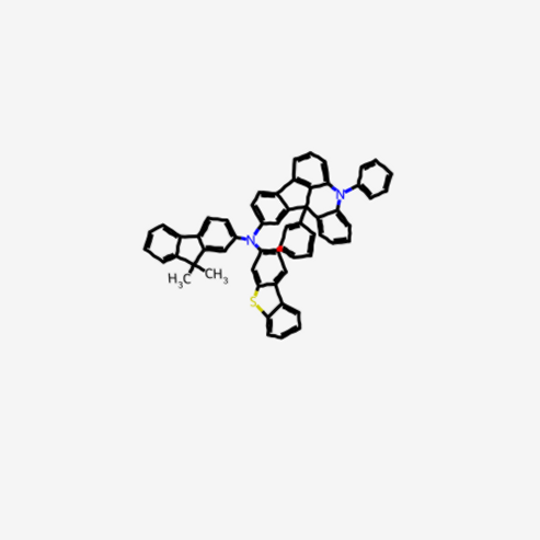 CC1(C)c2ccccc2-c2ccc(N(c3ccc4c(c3)C3(c5ccccc5)c5ccccc5N(c5ccccc5)c5cccc-4c53)c3ccc4c(c3)sc3ccccc34)cc21